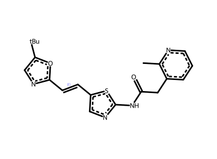 Cc1ncccc1CC(=O)Nc1ncc(/C=C/c2ncc(C(C)(C)C)o2)s1